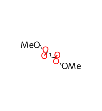 COCCOC(=O)/C=C/C(=O)OCCOC